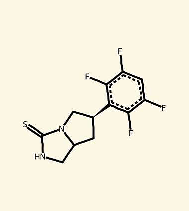 Fc1cc(F)c(F)c([C@H]2CC3CNC(=S)N3C2)c1F